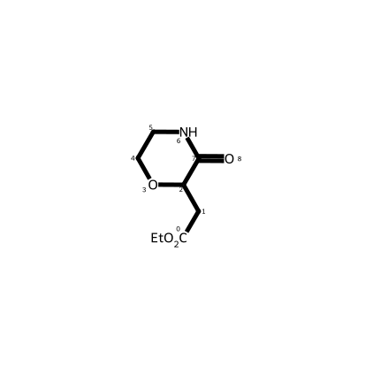 CCOC(=O)CC1OCCNC1=O